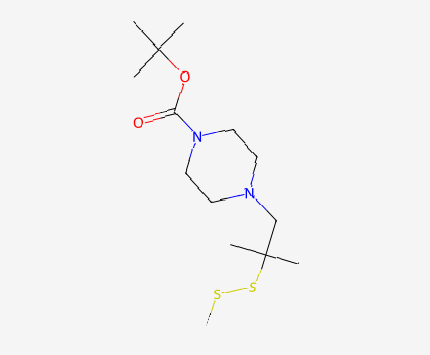 CSSC(C)(C)CN1CCN(C(=O)OC(C)(C)C)CC1